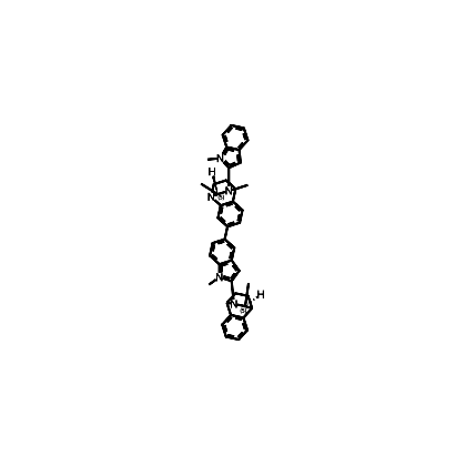 C[C@H]1C2CCC(c3ccccc32)N1c1cc2cc(-c3ccc4c(c3)N3CCC4(C)N(c4cc5ccccc5n4C)[C@H]3C)ccc2n1C